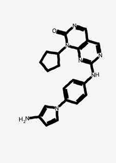 Nc1ccn(-c2ccc(Nc3ncc4cnc(=O)n(C5CCCC5)c4n3)cc2)c1